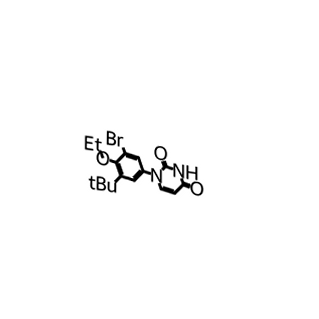 CCOc1c(Br)cc(-n2ccc(=O)[nH]c2=O)cc1C(C)(C)C